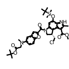 COC(=O)c1c(C)[nH]c2c(O[Si](C)(C)C(C)(C)C)cc3c(c12)[C@H](CCl)CN3C(=O)c1cc2cc(N(C)CC(=O)OC(C)(C)C)ccc2o1